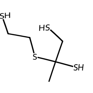 CC(S)(CS)SCCS